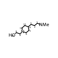 CNCCCC1CCN(CCO)CC1